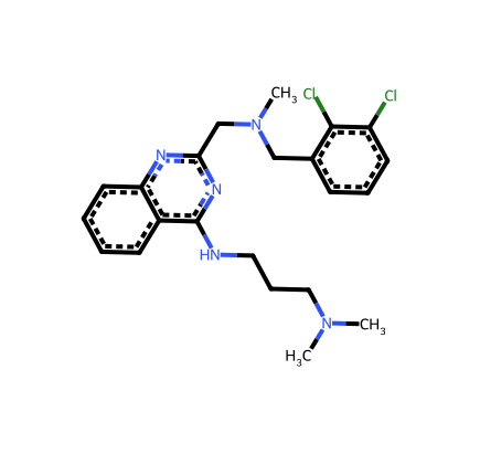 CN(C)CCCNc1nc(CN(C)Cc2cccc(Cl)c2Cl)nc2ccccc12